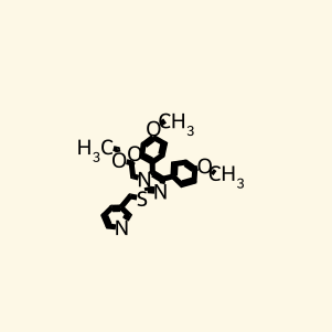 CCOC(=O)Cn1c(SCc2cccnc2)nc(-c2ccc(OC)cc2)c1-c1ccc(OC)cc1